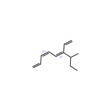 C=C/C=C\C=C(/C=C)C(C)CC